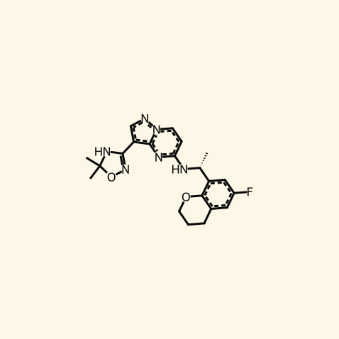 C[C@@H](Nc1ccn2ncc(C3=NOC(C)(C)N3)c2n1)c1cc(F)cc2c1OCCC2